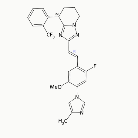 COc1cc(/C=C/c2nc3n(n2)CCC[C@H]3c2ccccc2C(F)(F)F)c(F)cc1-n1cnc(C)c1